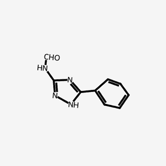 O=CNc1n[nH]c(-c2ccccc2)n1